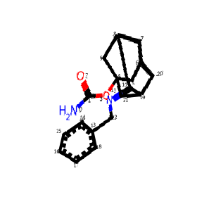 NC(=O)OC12CC3CC(C1)C(=NCc1ccccc1)C(C3)C2